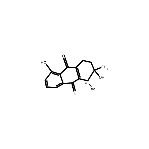 CC(=O)[C@@H]1C2=C(CCC1(C)O)C(=O)c1c(O)cccc1C2=O